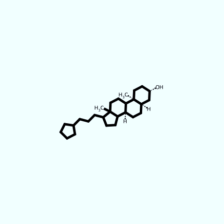 CC12CCC3[C@@H](CC[C@@H]4C[C@@H](O)CC[C@]34C)C1CCC2CCCC1CCCC1